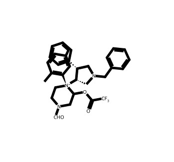 Cc1ccc(C)c([N@+]2([C@H]3CN(Cc4ccccc4)C[C@H]3c3ccccc3)CCN(C=O)CC2OC(=O)C(F)(F)F)c1